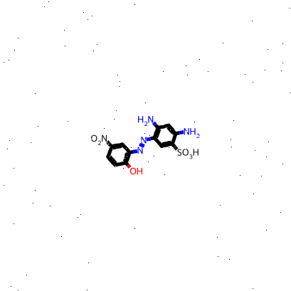 Nc1cc(N)c(S(=O)(=O)O)cc1/N=N/c1cc([N+](=O)[O-])ccc1O